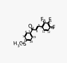 CSc1ccc(C(=O)C=Cc2ccc(F)c(F)c2F)cc1